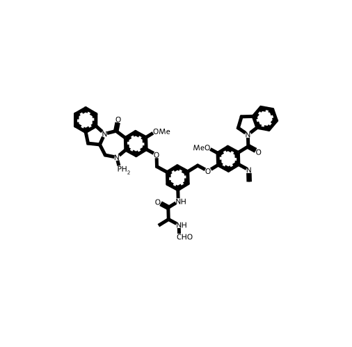 C=Nc1cc(OCc2cc(COc3cc4c(cc3OC)C(=O)N3c5ccccc5CC3CN4P)cc(NC(=O)C(C)NC=O)c2)c(OC)cc1C(=O)N1CCc2ccccc21